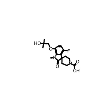 CN1C(=O)C2(CCN(C(=O)O)CC2)c2c(F)ccc(OCC(C)(C)O)c21